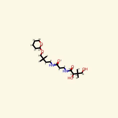 CC(C)(CCNC(=O)CCNC(=O)C(O)C(C)(C)CO)COC1CCCCO1